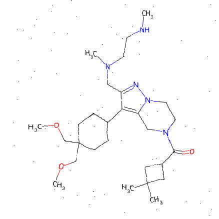 CNCCN(C)Cc1nn2c(c1C1CCC(COC)(COC)CC1)CN(C(=O)C1CC(C)(C)C1)CC2